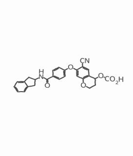 N#Cc1cc2c(cc1Oc1ccc(C(=O)NC3Cc4ccccc4C3)cc1)OCCC2OC(=O)O